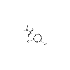 CN(C)S(=O)(=O)c1ccc(C#N)cc1Cl